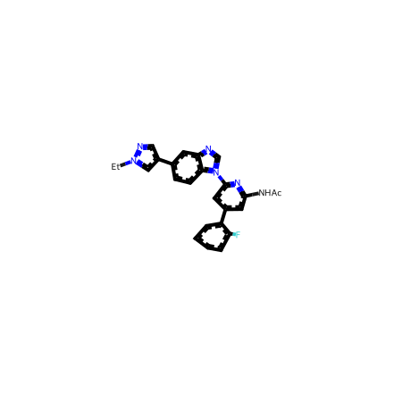 CCn1cc(-c2ccc3c(c2)ncn3-c2cc(-c3ccccc3F)cc(NC(C)=O)n2)cn1